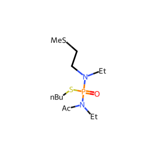 CCCCSP(=O)(N(CC)CCSC)N(CC)C(C)=O